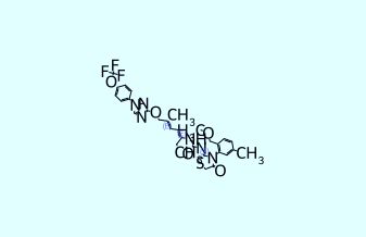 CC/C(=C\C=C(/C)COc1ncn(-c2ccc(OC(F)(F)F)cc2)n1)NC(=O)/N=C1\SCC(=O)N1c1cc(C)ccc1COC